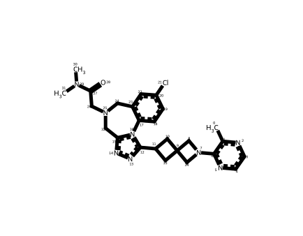 Cc1nccnc1N1CC2(CC(c3nnc4n3-c3ccc(Cl)cc3CN(CC(=O)N(C)C)C4)C2)C1